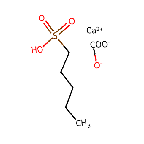 CCCCCS(=O)(=O)O.O=C([O-])[O-].[Ca+2]